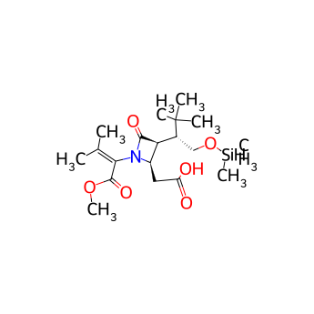 COC(=O)C(=C(C)C)N1C(=O)[C@@H]([C@@H](CO[SiH](C)C)C(C)(C)C)[C@H]1CC(=O)O